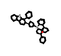 c1ccc(-c2ccc(N(c3ccc(-c4ccc5c(sc6ccccc65)c4-c4ccccc4)cc3)c3ccccc3-c3ccccc3)cc2)cc1